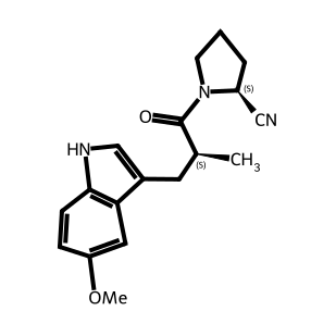 COc1ccc2[nH]cc(C[C@H](C)C(=O)N3CCC[C@H]3C#N)c2c1